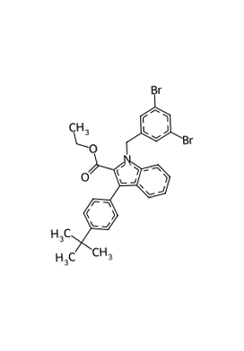 CCOC(=O)c1c(-c2ccc(C(C)(C)C)cc2)c2ccccc2n1Cc1cc(Br)cc(Br)c1